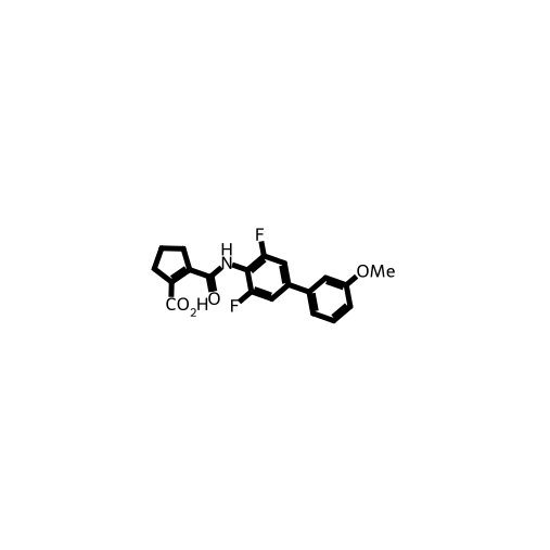 COc1cccc(-c2cc(F)c(NC(=O)C3=C(C(=O)O)CCC3)c(F)c2)c1